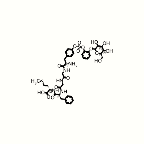 CSCC[C@H](NC(=O)[C@H](Cc1ccccc1)NC(=O)CNC(=O)CNC(=O)[C@@H](N)Cc1ccc(OS(=O)(=O)Oc2ccccc2OC2O[C@H](CO)[C@H](O)[C@H](O)C2O)cc1)C(=O)O